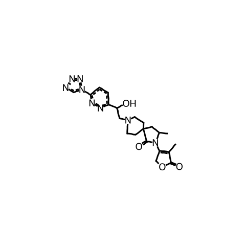 CC1=C(N2C(=O)C3(CCN(CC(O)c4ccc(-n5cnnn5)nn4)CC3)CC2C)COC1=O